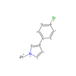 CC(C)n1ccc(-c2ccc(Br)cc2)c1